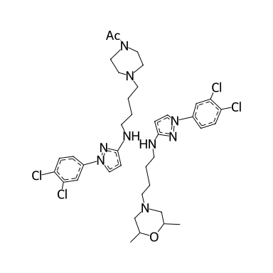 CC(=O)N1CCN(CCCCNc2ccn(-c3ccc(Cl)c(Cl)c3)n2)CC1.CC1CN(CCCCNc2ccn(-c3ccc(Cl)c(Cl)c3)n2)CC(C)O1